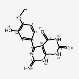 COc1ccc(-c2nc(=N)[nH]c3[nH]c(=O)[nH]c(=O)c23)cc1O